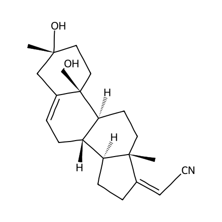 C[C@@]1(O)CC[C@@]2(CO)C(=CC[C@@H]3[C@@H]2CC[C@]2(C)/C(=C\C#N)CC[C@@H]32)C1